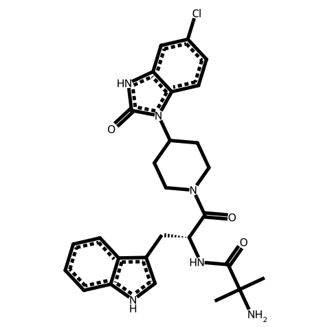 CC(C)(N)C(=O)N[C@H](Cc1c[nH]c2ccccc12)C(=O)N1CCC(n2c(=O)[nH]c3cc(Cl)ccc32)CC1